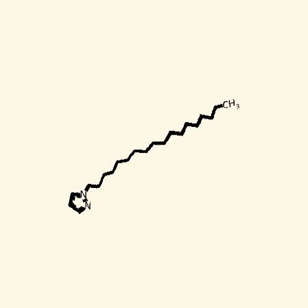 CCCCCCCCCCCCCCCCCCn1cccn1